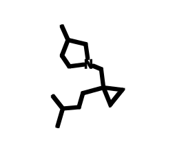 CC(C)CCC1(CN2CCC(C)C2)CC1